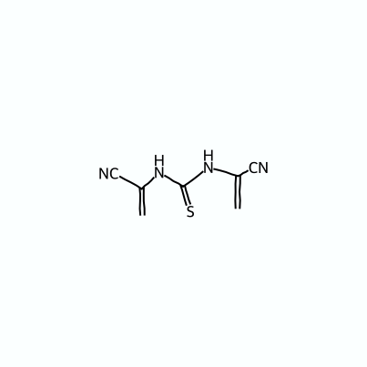 C=C(C#N)NC(=S)NC(=C)C#N